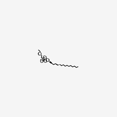 CCCCCCCCCCCCCCC#COOS(=O)(=O)CCOCC